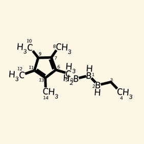 BBBCC.CC1=C(C)C(C)C(C)=C1C